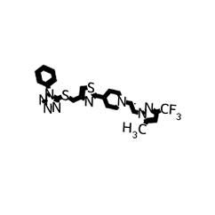 Cc1cc(C(F)(F)F)nn1C[CH]N1CCC(c2nc(CSc3nnnn3-c3ccccc3)cs2)CC1